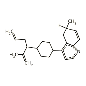 C=CCC(C(=C)C)C1CCC(c2ccnc3c2CC(C)(F)C=C3)CC1